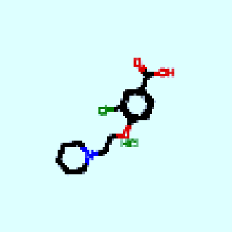 Cl.O=C(O)c1ccc(OCCN2CCCCC2)c(Cl)c1